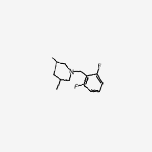 CC1CC(C)CN(Cc2c(F)cccc2F)C1